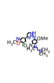 COc1cc(N(C)CCN(C)C)c([N+](=O)[O-])cc1Nc1nccc(-c2cc(F)c3oc(C)nc3c2)n1